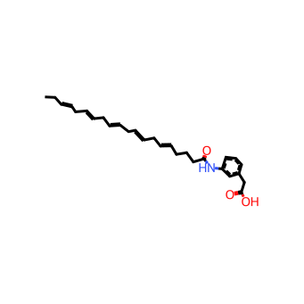 CC/C=C/C/C=C/C/C=C/C/C=C/C/C=C/CCCC(=O)Nc1cccc(CC(=O)O)c1